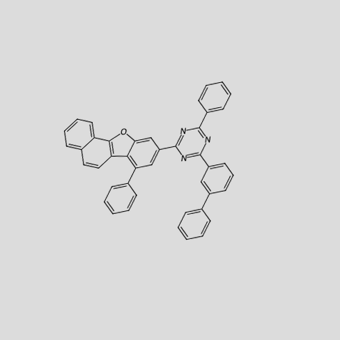 c1ccc(-c2cccc(-c3nc(-c4ccccc4)nc(-c4cc(-c5ccccc5)c5c(c4)oc4c6ccccc6ccc45)n3)c2)cc1